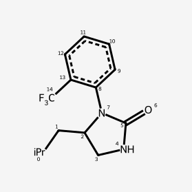 CC(C)CC1CNC(=O)N1c1ccccc1C(F)(F)F